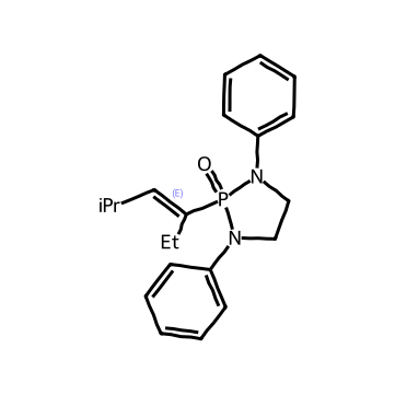 CC/C(=C\C(C)C)P1(=O)N(c2ccccc2)CCN1c1ccccc1